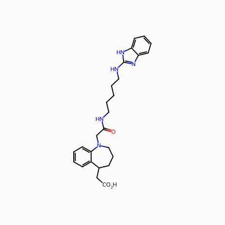 O=C(O)CC1CCCN(CC(=O)NCCCCCNc2nc3ccccc3[nH]2)c2ccccc21